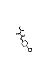 C/C=C(\C)C(=O)NN=C1CCC(C2CCC2)CC1